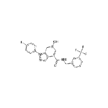 O=C(NCc1cccc(C(F)(F)F)c1)C1=CN(O)Cc2c1cnn2-c1ccc(F)cc1